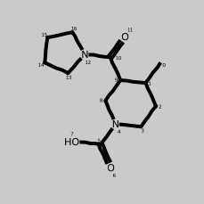 CC1CCN(C(=O)O)CC1C(=O)N1CCCC1